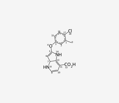 Cc1cc(OC2=CC3NC=CC(C(=O)O)=C3N2)ccc1Cl